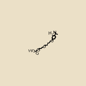 CC(N)c1ccc(OCCCCCOCCCOCC(=O)O)cc1